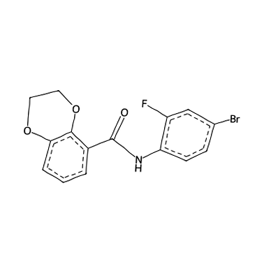 O=C(Nc1ccc(Br)cc1F)c1cccc2c1OCCO2